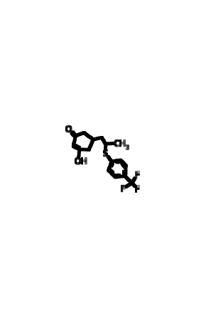 CC(CC1CC(=O)C=C(O)C1)Sc1ccc(C(F)(F)F)cc1